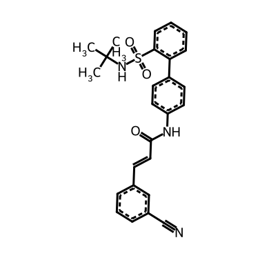 CC(C)(C)NS(=O)(=O)c1ccccc1-c1ccc(NC(=O)C=Cc2cccc(C#N)c2)cc1